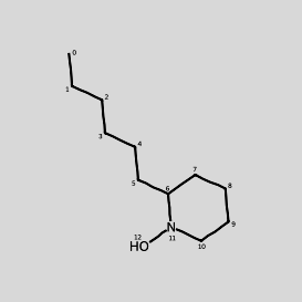 CCCCCCC1CCCCN1O